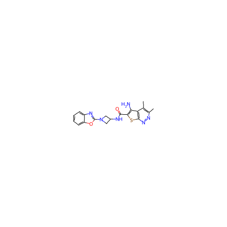 Cc1nnc2sc(C(=O)NC3CN(c4nc5ccccc5o4)C3)c(N)c2c1C